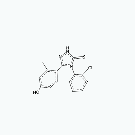 Cc1cc(O)ccc1-c1n[nH]c(=S)n1-c1ccccc1Cl